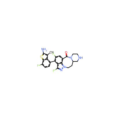 N#Cc1c(N)sc2c(F)ccc(-c3c(F)cc4c5c3c(F)nn5CCC3CNCCN3C4=O)c12